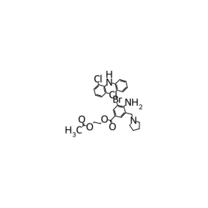 CC(=O)OCCOC(=O)c1cc(Br)c(N)c(CN2CCCC2)c1.Clc1cccc(Cl)c1Nc1ccccc1